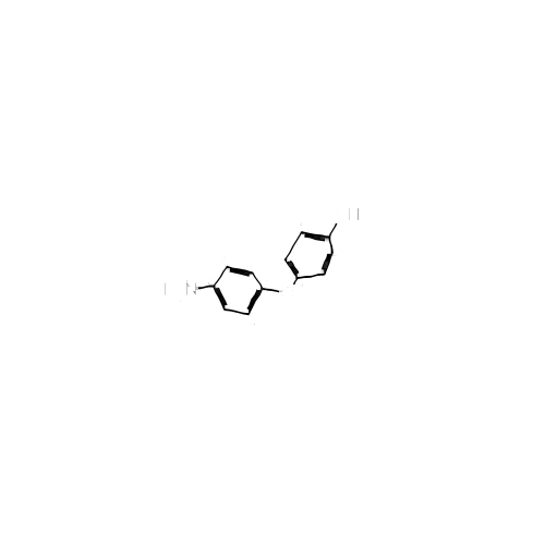 Cc1ccc(Oc2c[c]c(N)cc2)cc1